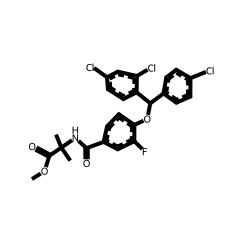 COC(=O)C(C)(C)NC(=O)c1ccc(OC(c2ccc(Cl)cc2)c2ccc(Cl)cc2Cl)c(F)c1